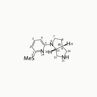 CSc1cccc(N2CC[C@@H]3CNC[C@@H]32)n1